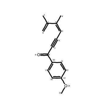 C=C(C)/C(C)=C\C#CC(=O)c1ccc(OC)cc1